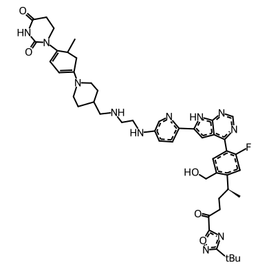 CC1CC(N2CCC(CNCCNc3ccc(-c4cc5c(-c6cc(CO)c([C@@H](C)CCC(=O)c7nc(C(C)(C)C)no7)cc6F)ncnc5[nH]4)nc3)CC2)=CC=C1N1CCC(=O)NC1=O